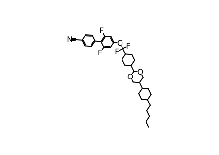 CCCCCC1CCC(C2COC(C3CCC(C(F)(F)Oc4cc(F)c(-c5ccc(C#N)cc5)c(F)c4)CC3)OC2)CC1